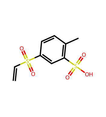 C=CS(=O)(=O)c1ccc(C)c(S(=O)(=O)O)c1